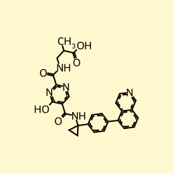 CC(CNC(=O)c1ncc(C(=O)NC2(c3ccc(-c4cccc5cnccc45)cc3)CC2)c(O)n1)C(=O)O